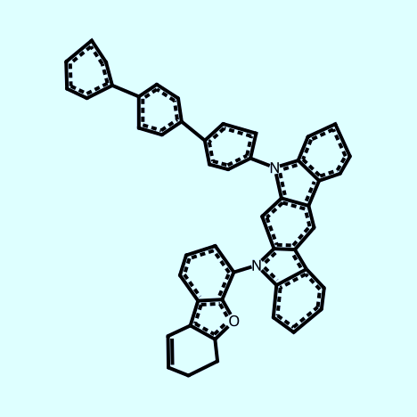 C1=Cc2c(oc3c(-n4c5ccccc5c5cc6c7ccccc7n(-c7ccc(-c8ccc(-c9ccccc9)cc8)cc7)c6cc54)cccc23)CC1